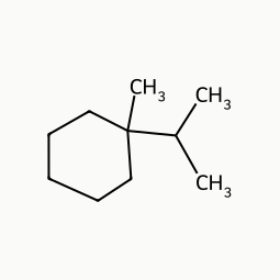 CC(C)C1(C)CCCCC1